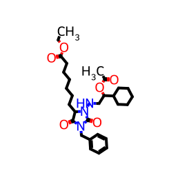 CCOC(=O)CCCCCCC1C(=O)N(Cc2ccccc2)C(=O)N1NCC(OC(C)=O)C1CCCCC1